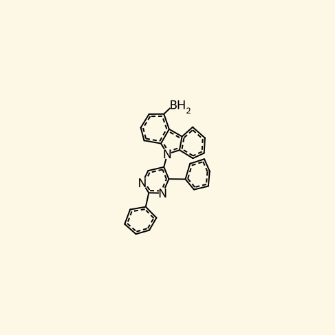 Bc1cccc2c1c1ccccc1n2-c1cnc(-c2ccccc2)nc1-c1ccccc1